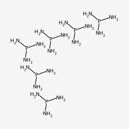 NP(N)N.NP(N)N.NP(N)N.NP(N)N.NP(N)N.NP(N)N